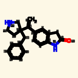 C=C(c1ccc2c(c1)CC(=O)N2)C1(Cc2ccccc2)CCNC1